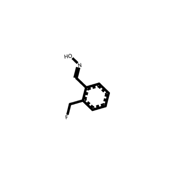 ON=Cc1ccccc1CF